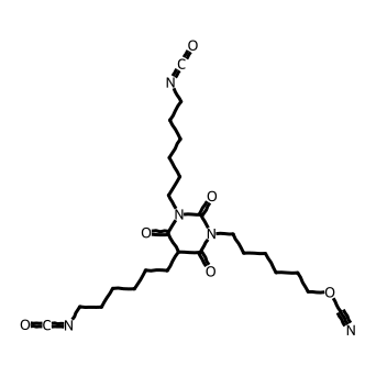 N#COCCCCCCN1C(=O)C(CCCCCCN=C=O)C(=O)N(CCCCCCN=C=O)C1=O